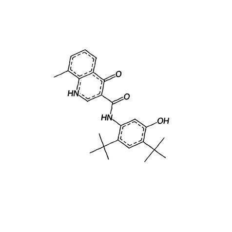 Cc1cccc2c(=O)c(C(=O)Nc3cc(O)c(C(C)(C)C)cc3C(C)(C)C)c[nH]c12